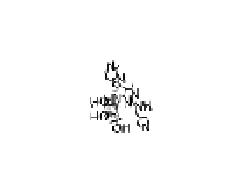 Cc1nc(NCc2ccncc2)nc(N[C@@H]2C[C@H](C(C)(C)O)[C@@H](O)[C@H]2O)c1-c1nc2c(C)nccc2s1